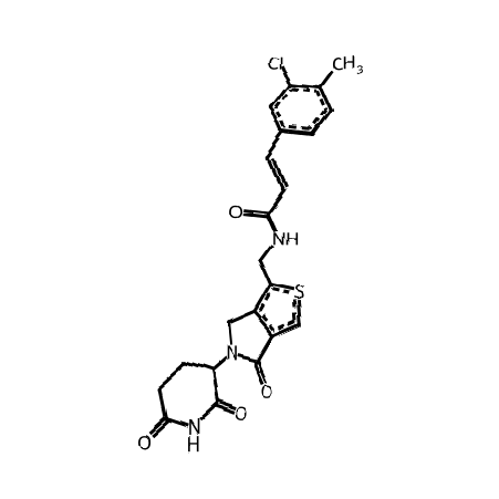 Cc1ccc(C=CC(=O)NCc2scc3c2CN(C2CCC(=O)NC2=O)C3=O)cc1Cl